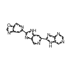 c1ncc2[nH]c(-c3cc4[nH]c(-c5cc6ncoc6cn5)nc4cn3)nc2n1